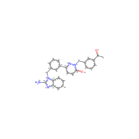 CC(=O)c1cccc(Cn2nc(-c3cccc(Cn4c(N)nc5ccccc54)c3)ccc2=O)c1